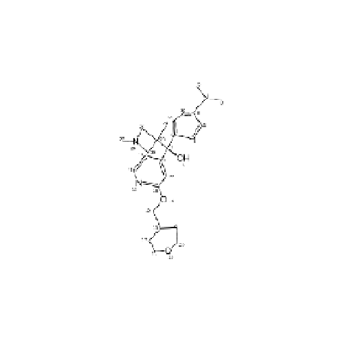 CC(C)c1ccc([C@](O)(c2ccnc(OCC3CCOCC3)c2)C2(C)CN(C)C2)cc1